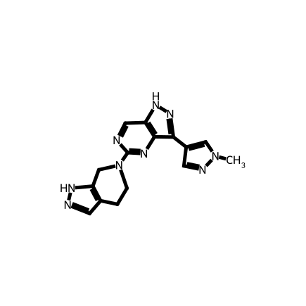 Cn1cc(-c2n[nH]c3cnc(N4CCc5cn[nH]c5C4)nc23)cn1